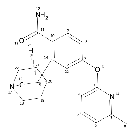 Cc1cccc(Oc2ccc(C(N)=O)c([C@@H]3CN4CCC3CC4)c2)n1